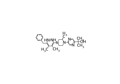 CC1=C(Cc2ccccc2)NNC(N2CCN(c3cnc(C(C)(C)O)cn3)[C@H](C)C2)=C1C